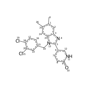 Cc1cc2nc(-c3ccc(=O)[nH]c3)n(Cc3ccc(Cl)c(Cl)c3)c2cc1C